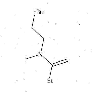 C=C(CC)N(I)CCC(C)(C)C